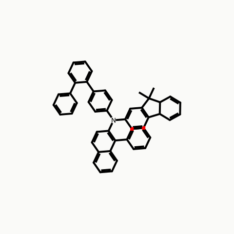 CC1(C)c2cc(N(c3ccc(-c4ccccc4-c4ccccc4)cc3)c3ccc4ccccc4c3-c3ccccc3)ccc2C2C=CC=CC21